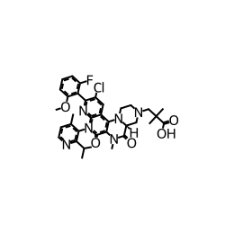 COc1cccc(F)c1-c1nc2c(cc1Cl)c1c(c(=O)n2-c2c(C)ccnc2C(C)C)N(C)C(=O)[C@H]2CN(CC(C)(C)C(=O)O)CCN12